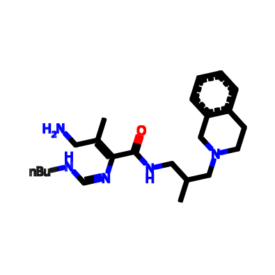 CCCCN/C=N\C(C(=O)NCC(C)CN1CCc2ccccc2C1)=C(\C)CN